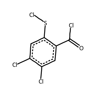 O=C(Cl)c1cc(Cl)c(Cl)cc1SCl